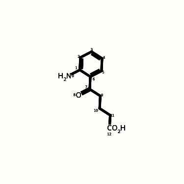 Nc1ccccc1C(=O)CCCC(=O)O